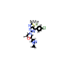 CNc1nc2nc(N3C[C@H](C)O[C@@H](c4cnn(C5CC5)c4)C3)nc(-c3ccc(Cl)cc3F)c2s1